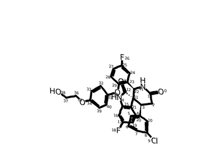 O=C1C[C@@H](c2cccc(Cl)c2)[C@]2(C(=O)Nc3cc(F)ccc32)[C@@H](c2cc(F)ccc2Oc2ccc(OCCO)cc2)N1